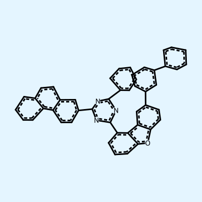 c1ccc(-c2cccc(-c3ccc4oc5cccc(-c6nc(-c7ccccc7)nc(-c7ccc8c(ccc9ccccc98)c7)n6)c5c4c3)c2)cc1